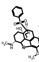 CN[C@@H]1CC[C@@]2(O)[C@H]3Cc4ccc(OC)c5c4[C@@]2(CCN3S(=O)(=O)c2ccccc2)[C@H]1O5